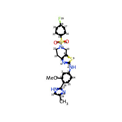 COc1cc(Nc2nc3c(s2)CN(S(=O)(=O)c2ccc(F)cc2)CC3)ccc1-c1nc(C)c[nH]1